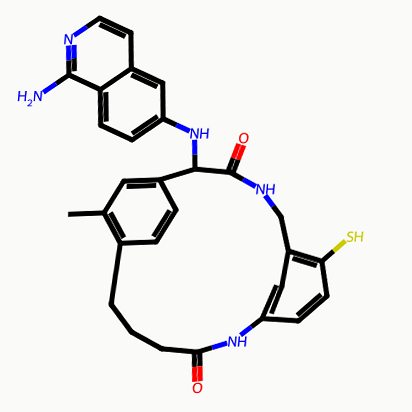 Cc1cc2ccc1CCCC(=O)Nc1ccc(S)c(c1)CNC(=O)C2Nc1ccc2c(N)nccc2c1